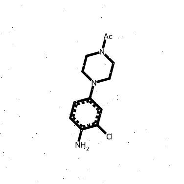 CC(=O)N1CCN(c2ccc(N)c(Cl)c2)CC1